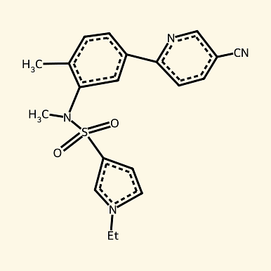 CCn1ccc(S(=O)(=O)N(C)c2cc(-c3ccc(C#N)cn3)ccc2C)c1